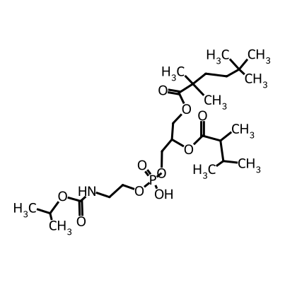 CC(C)OC(=O)NCCOP(=O)(O)OCC(COC(=O)C(C)(C)CCC(C)(C)C)OC(=O)C(C)C(C)C